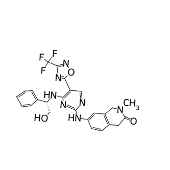 CN1Cc2cc(Nc3ncc(-c4nc(C(F)(F)F)no4)c(N[C@H](CO)c4ccccc4)n3)ccc2CC1=O